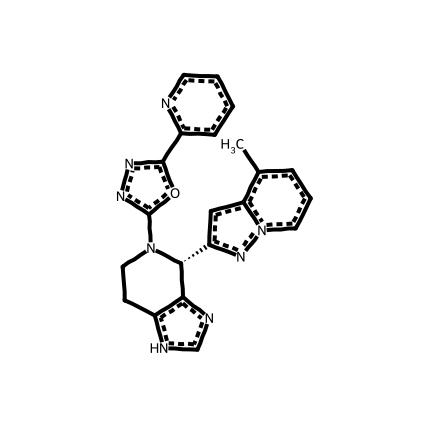 Cc1cccn2nc([C@@H]3c4nc[nH]c4CCN3c3nnc(-c4ccccn4)o3)cc12